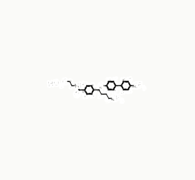 O=C(O)CCNC(=O)c1ccc(C(CCCC(F)(F)F)Oc2ccc(-c3ccc(C(F)(F)F)cc3)cc2)cc1